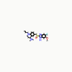 C=CCN1CCC(N(C)C)c2cc(C[S+]([O-])c3nc4cc(F)c(OC)cc4[nH]3)ccc21